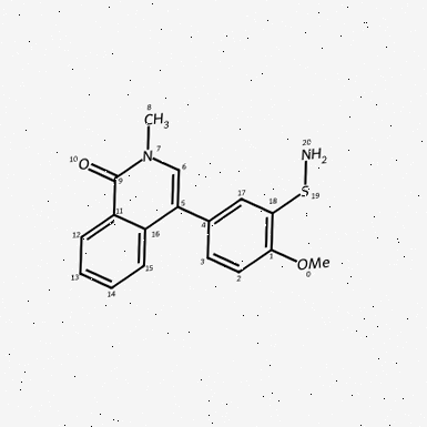 COc1ccc(-c2cn(C)c(=O)c3ccccc23)cc1SN